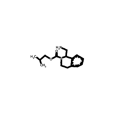 CC(C)COC(=O)N1CCc2ccccc2C1CN